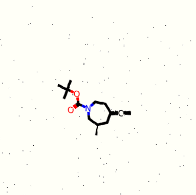 C=C=C1CCN(C(=O)OC(C)(C)C)C[C@H](C)C1